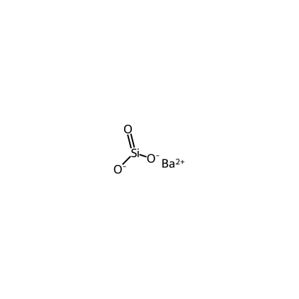 O=[Si]([O-])[O-].[Ba+2]